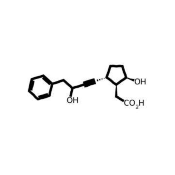 O=C(O)C[C@@H]1[C@H](O)CC[C@H]1C#CC(O)Cc1ccccc1